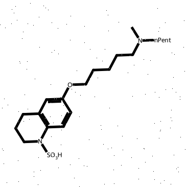 CCCCCN(C)CCCCCOc1ccc2c(c1)CCCN2S(=O)(=O)O